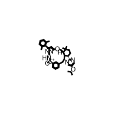 Cc1cccc(C)c1-c1cc2nc(n1)N[S+]([O-])c1cccc(c1)CCC1[C@@H](c3ncc(OC(C)C)cn3)CCC(C)(C)[C@H]1CO2